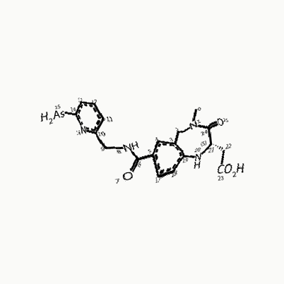 CN1Cc2cc(C(=O)NCc3cccc([AsH2])n3)ccc2N[C@@H](CC(=O)O)C1=O